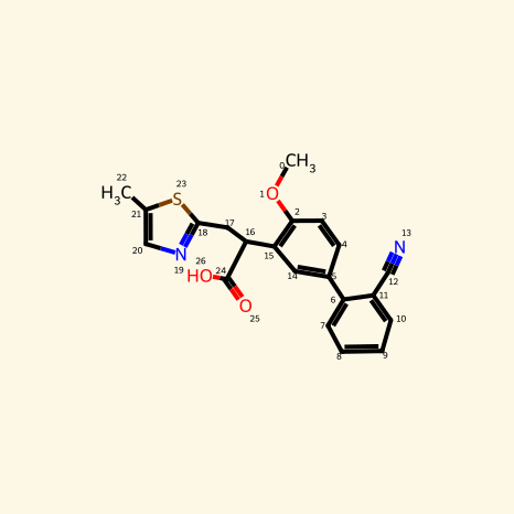 COc1ccc(-c2ccccc2C#N)cc1C(Cc1ncc(C)s1)C(=O)O